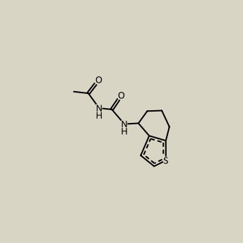 CC(=O)NC(=O)NC1CCCc2sccc21